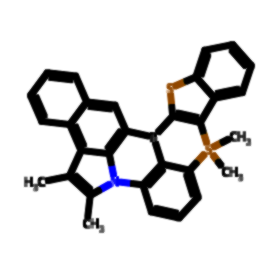 Cc1c(C)n2c3c(cc4ccccc4c13)B1c3sc4ccccc4c3S(C)(C)c3cccc-2c31